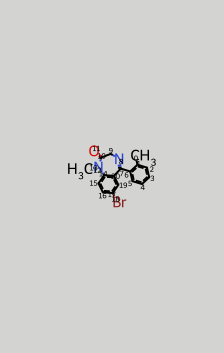 Cc1ccccc1C1=NCC(=O)N(C)c2ccc(Br)cc21